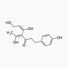 C/C(O)=C(C(=O)CCc1ccc(O)cc1)\C(O)=C/CO